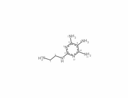 NCCNc1nc(N)c(N)c(N)n1